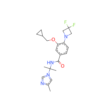 Cc1cn(C(C)(C)NC(=O)c2ccc(N3CC(F)(F)C3)c(OCC3CC3)c2)cn1